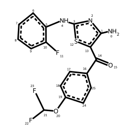 Nc1nc(Nc2ccccc2F)sc1C(=O)c1ccc(OC(F)F)cc1